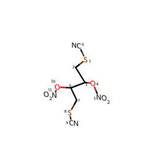 N#CSCC(O[N+](=O)[O-])C(CSC#N)O[N+](=O)[O-]